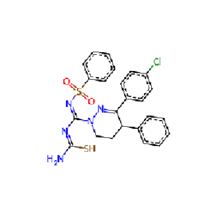 N/C(S)=N/C(=N/S(=O)(=O)c1ccccc1)N1CCC(c2ccccc2)C(c2ccc(Cl)cc2)=N1